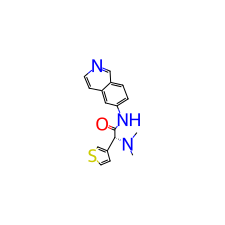 CN(C)[C@@H](C(=O)Nc1ccc2cnccc2c1)c1ccsc1